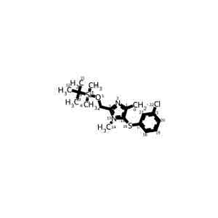 [CH2]c1nc(CO[Si](C)(C)C(C)(C)C)n(C)c1Sc1cccc(Cl)c1